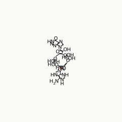 NC1=C2NCN(C3=C4O[PH](O)(O)OCc5oc(-n6cnc7c(=O)[nH]nnc76)c(O)c5O[PH](O)(O)O/C=C(/O3)[C@H]4O)C2NCN1